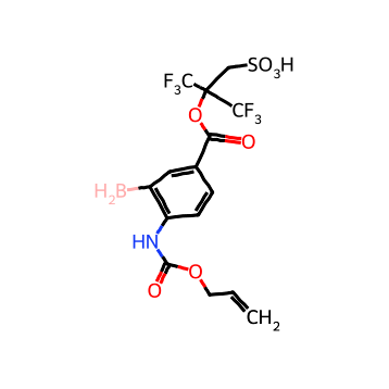 Bc1cc(C(=O)OC(CS(=O)(=O)O)(C(F)(F)F)C(F)(F)F)ccc1NC(=O)OCC=C